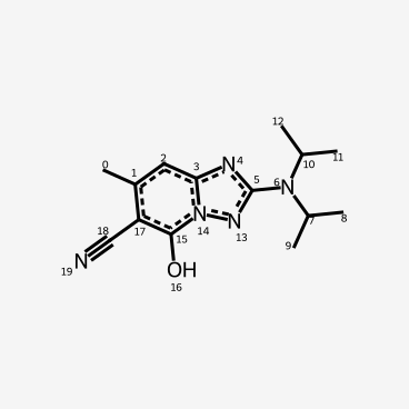 Cc1cc2nc(N(C(C)C)C(C)C)nn2c(O)c1C#N